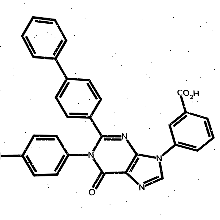 O=C(O)c1cccc(-n2cnc3c(=O)n(-c4ccc(Cl)cc4)c(-c4ccc(-c5ccccc5)cc4)nc32)c1